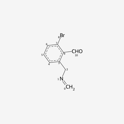 C=NCc1cccc(Br)c1C=O